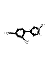 CCn1cc(-c2ccc(N)cc2C#N)cn1